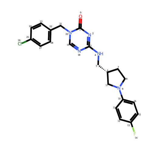 O=c1nc(NC[C@@H]2CCN(c3ccc(F)cc3)C2)ncn1Cc1ccc(Cl)cc1